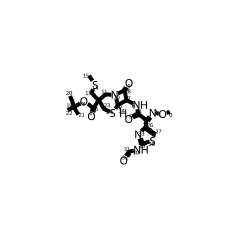 CON=C(C(=O)NC1C(=O)N2CC(CSC)(C(=O)OC(C)(C)C)CS[C@H]12)c1csc(NC=O)n1